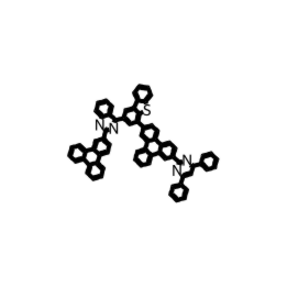 c1ccc(-c2cc(-c3ccccc3)nc(-c3ccc4c5ccc(-c6cc(-c7nc(-c8ccc9c%10ccccc%10c%10ccccc%10c9c8)nc8ccccc78)cc7c6sc6ccccc67)cc5c5ccccc5c4c3)n2)cc1